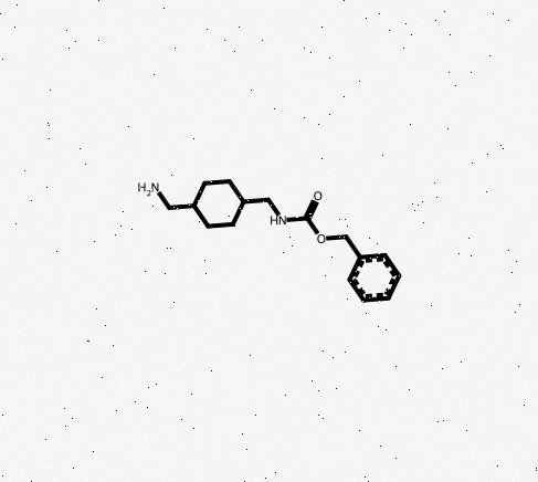 NCC1CCC(CNC(=O)OCc2ccccc2)CC1